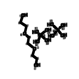 OCCOCCOCCO.O[Si](O)(O)O.O[Si](O)(O)O